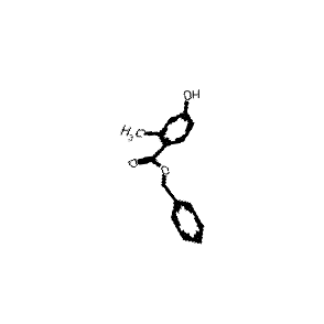 Cc1cc(O)ccc1C(=O)OCc1ccccc1